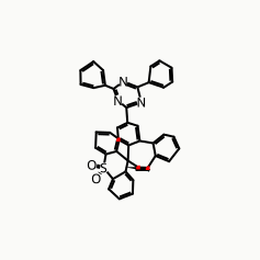 O=S1(=O)c2ccccc2C2(c3ccccc3-c3ccccc3-c3cc(-c4nc(-c5ccccc5)nc(-c5ccccc5)n4)ccc32)c2ccccc21